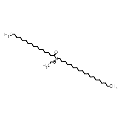 CCCCCCCCCCCCCCCCCCCN(OCC)C(=O)CCCCCCCCCCCCCCC